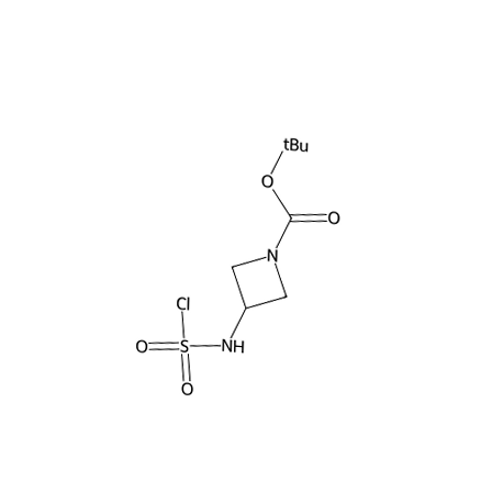 CC(C)(C)OC(=O)N1CC(NS(=O)(=O)Cl)C1